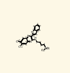 CCN(CC)CCCCNc1nc2cc(Cl)c(Cl)cc2nc1-c1cc2ccccc2o1